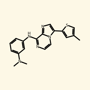 Cc1csc(-c2cnc3c(Nc4cccc(N(C)C)c4)nccn23)c1